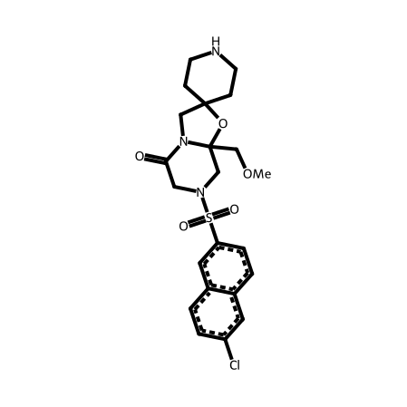 COCC12CN(S(=O)(=O)c3ccc4cc(Cl)ccc4c3)CC(=O)N1CC1(CCNCC1)O2